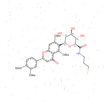 COc1ccc(-c2cc(=O)c3c(OC)c([C@@H]4O[C@H](C(=O)NCCCF)[C@@H](O)[C@H](O)[C@H]4O)c(OC)cc3o2)cc1OC